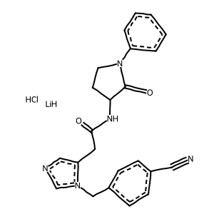 Cl.N#Cc1ccc(Cn2cncc2CC(=O)NC2CCN(c3ccccc3)C2=O)cc1.[LiH]